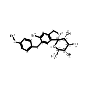 CCOc1ccc(Cc2cc3c(cc2Br)CO[C@]32O[C@H](C)[C@@H](O)[C@H](O)[C@H]2O)cc1